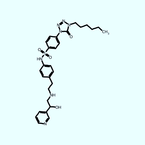 CCCCCCn1nnn(-c2ccc(S(=O)(=O)Nc3ccc(CCNCC(O)c4cccnc4)cc3)cc2)c1=O